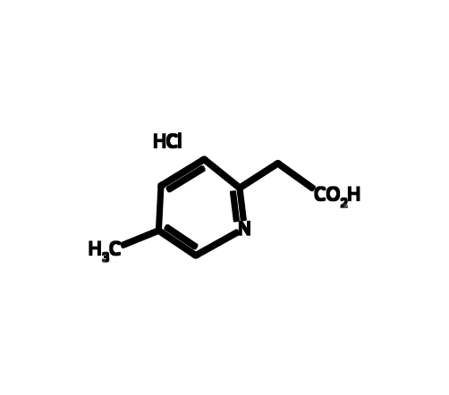 Cc1ccc(CC(=O)O)nc1.Cl